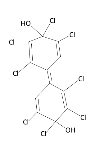 OC1(Cl)C(Cl)=C/C(=C2/C=C(Cl)C(O)(Cl)C(Cl)=C2Cl)C(Cl)=C1Cl